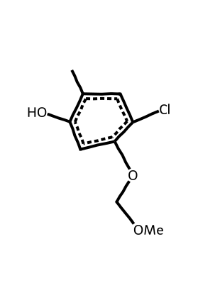 COCOc1cc(O)c(C)cc1Cl